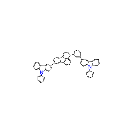 c1ccc(-n2c3ccccc3c3cc(-c4cccc(-c5ccc6c7c(cccc57)-c5cc(-c7ccc8c(c7)c7ccccc7n8-c7ccccc7)ccc5-6)c4)ccc32)cc1